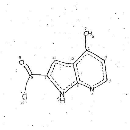 Cc1ccnc2[nH]c(C(=O)Cl)cc12